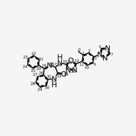 Cc1cc(-n2cncn2)ccc1-c1nnc(NC2N=C(c3ccccc3)c3ccccc3NC2=O)o1